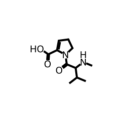 CNC(C(=O)N1CCC=C1C(=O)O)C(C)C